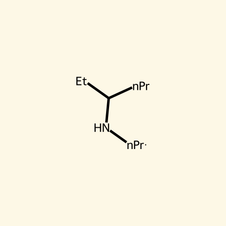 CC[CH]NC(CC)CCC